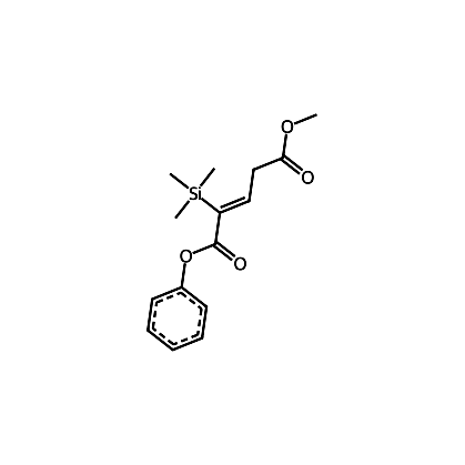 COC(=O)CC=C(C(=O)Oc1ccccc1)[Si](C)(C)C